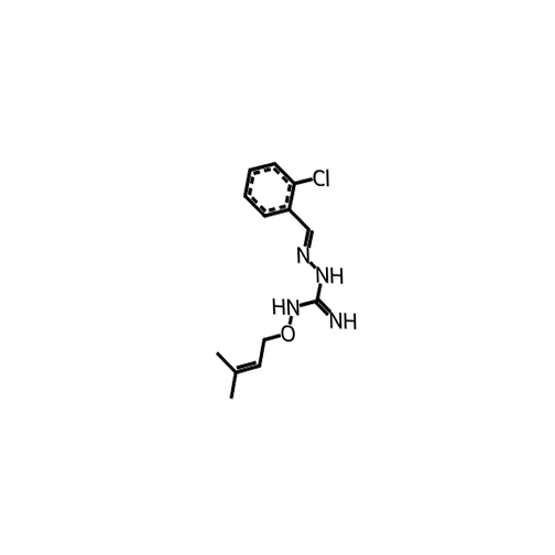 CC(C)=CCONC(=N)NN=Cc1ccccc1Cl